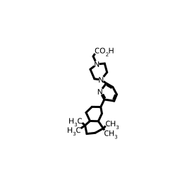 CC1(C)CCC(C)(C)C2CC(c3cccc(N4CCN(CC(=O)O)CC4)n3)CCC21